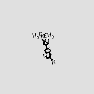 CN(C)Cc1cc(-c2cc3ncc(C#N)cc3s2)co1